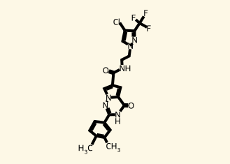 Cc1ccc(-c2nn3cc(C(=O)NCCn4cc(Cl)c(C(F)(F)F)n4)cc3c(=O)[nH]2)cc1C